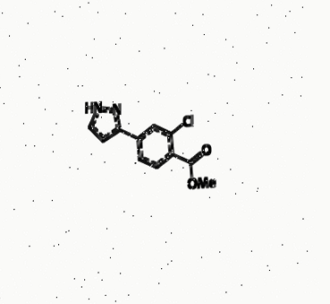 COC(=O)c1ccc(-c2cc[nH]n2)cc1Cl